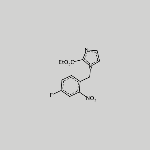 CCOC(=O)c1nccn1Cc1ccc(F)cc1[N+](=O)[O-]